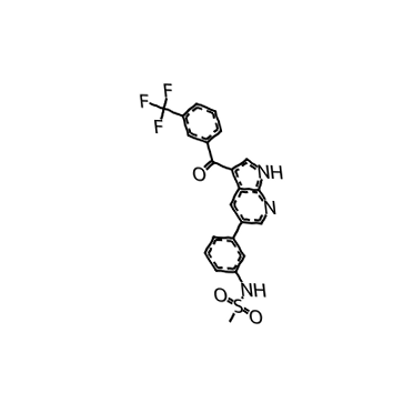 CS(=O)(=O)Nc1cccc(-c2cnc3[nH]cc(C(=O)c4cccc(C(F)(F)F)c4)c3c2)c1